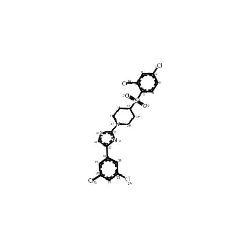 O=S(=O)(c1ccc(Cl)cc1Cl)C1CCN(c2nc(-c3cc(Cl)cc(Cl)c3)cs2)CC1